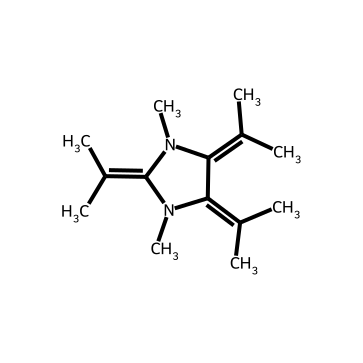 CC(C)=C1C(=C(C)C)N(C)C(=C(C)C)N1C